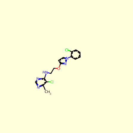 Cc1ncnc(NCCOc2ccn(-c3ccccc3Cl)n2)c1Cl